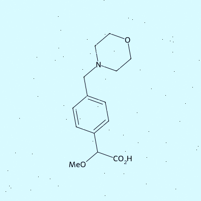 COC(C(=O)O)c1ccc(CN2CCOCC2)cc1